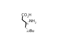 CC[C@@H](C)C[C@@H](N)CC(=O)O